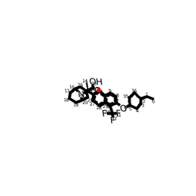 CCC1CCC(Oc2ccc3cc([C@H](C)N4C5CCCC4CC(C(=O)O)C5)ccc3c2C(F)(F)F)CC1